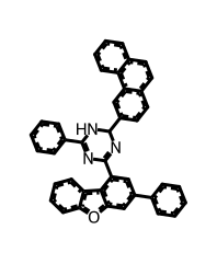 c1ccc(C2=NC(c3cc(-c4ccccc4)cc4oc5ccccc5c34)=NC(c3ccc4ccc5ccccc5c4c3)N2)cc1